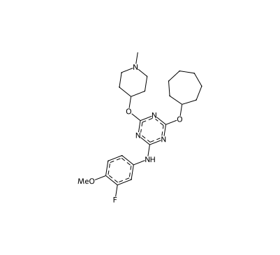 COc1ccc(Nc2nc(OC3CCCCCC3)nc(OC3CCN(C)CC3)n2)cc1F